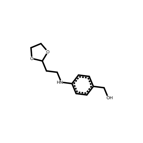 OCc1ccc(NCCC2OCCO2)cc1